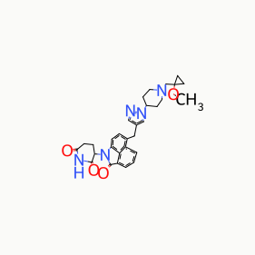 COC1(CN2CCC(n3cc(Cc4ccc5c6c(cccc46)C(=O)N5C4CCC(=O)NC4=O)cn3)CC2)CC1